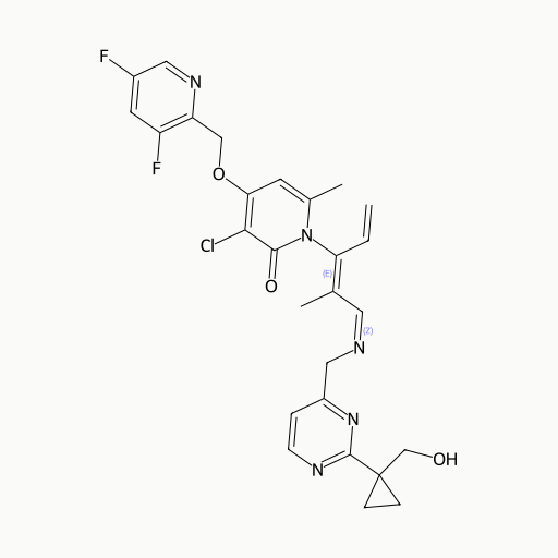 C=C/C(=C(C)\C=N/Cc1ccnc(C2(CO)CC2)n1)n1c(C)cc(OCc2ncc(F)cc2F)c(Cl)c1=O